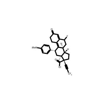 CCC(=O)[C@@]1(C#CC(F)(F)F)CC[C@H]2[C@@H]3CC(F)C4=CC(=O)CCC4=C3[C@@H](c3ccc(NC)cc3)C[C@@]21C